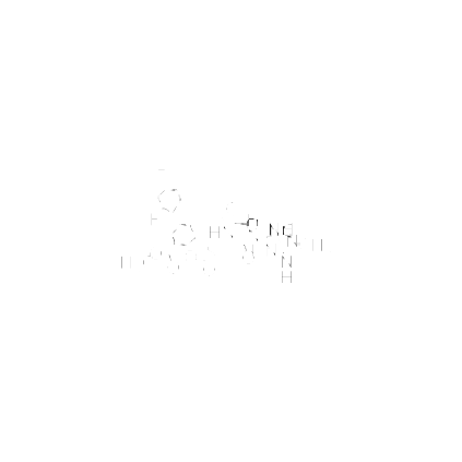 COC(=O)c1cc(-c2ccc(F)cc2F)ccc1OC(=O)SCC(NC(C)=O)C(=O)NC(=N)NC(=N)N(C)C